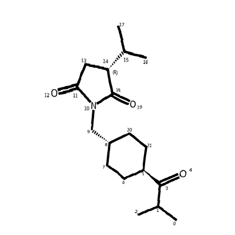 CC(C)C(=O)[C@H]1CC[C@H](CN2C(=O)C[C@H](C(C)C)C2=O)CC1